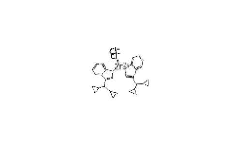 [CH2]=[Zr+2]([CH]1C=C(C(C2CC2)C2CC2)c2ccccc21)[CH]1C=C(C(C2CC2)C2CC2)c2ccccc21.[Cl-].[Cl-]